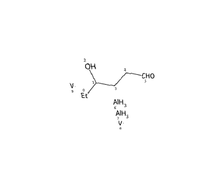 CCC(O)CCC=O.[AlH3].[AlH3].[V].[V]